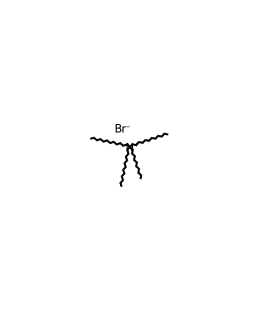 CCCCCCCCCCCC[N+](CCCCCCCCCC)(CCCCCCCCCCCC)CCCCCCCCCCCC.[Br-]